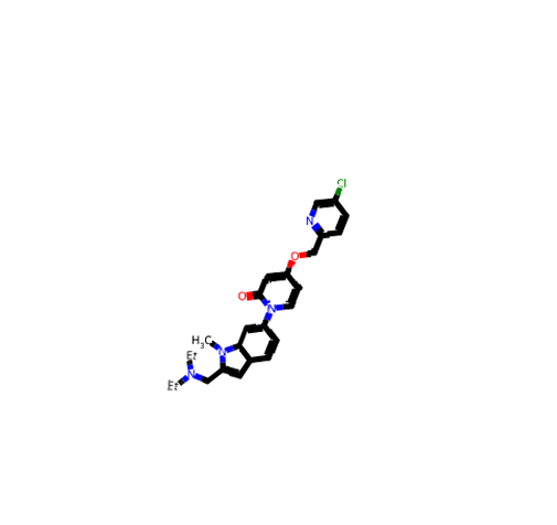 CCN(CC)CC1=CC2C=CC(n3ccc(OCc4ccc(Cl)cn4)cc3=O)=CC2N1C